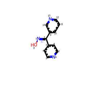 O/N=C(\c1ccncc1)c1cccnc1